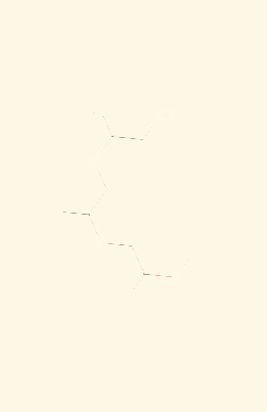 COC(C)COC(C)COC(C)CO.[CaH2]